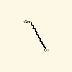 CCCCCCCCCCCCCCCCCCCCCCCCCC=CO